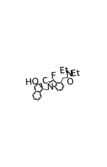 CCN(CC)C(=O)Cc1cccc2c1c(F)c(C(=O)O)n2Cc1cccc2ccccc12